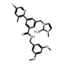 COc1cc(CNC(=O)c2cc(CN3C=CN(C)C3N)cc(-c3ncc(F)cc3C)c2)cc(OC)c1